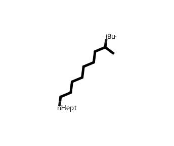 CCCCCCCCCCCCCCC(C)[C](C)CC